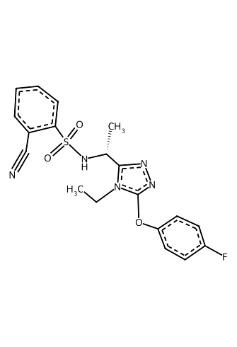 CCn1c(Oc2ccc(F)cc2)nnc1[C@@H](C)NS(=O)(=O)c1ccccc1C#N